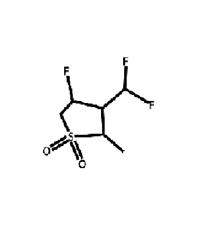 CC1C(C(F)F)C(F)CS1(=O)=O